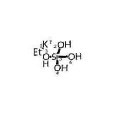 C[CH2][K].O[Si](O)(O)O